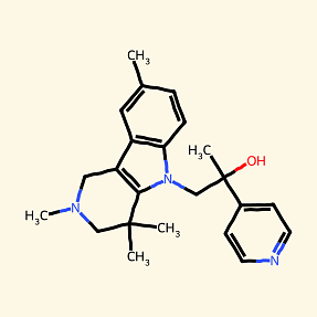 Cc1ccc2c(c1)c1c(n2CC(C)(O)c2ccncc2)C(C)(C)CN(C)C1